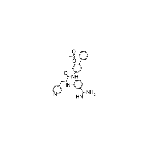 CS(=O)(=O)c1ccccc1-c1ccc(NC(=O)[C@H](Cc2ccncc2)Nc2cccc(C(=N)N)c2)cc1